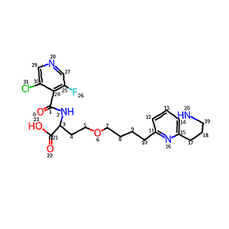 O=C(NC(CCOCCCCc1ccc2c(n1)CCCN2)C(=O)O)c1c(F)cncc1Cl